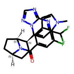 Cn1ccc2cc(C(=O)N3[C@H]4CC[C@H](c5cc(C(F)F)nc6ncnn56)[C@@H]3CC4)cc(F)c21